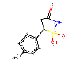 O=Cc1ccc(C2CC(=O)NS2(O)O)cc1